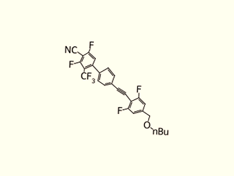 CCCCOCc1cc(F)c(C#Cc2ccc(-c3cc(F)c(C#N)c(F)c3C(F)(F)F)cc2)c(F)c1